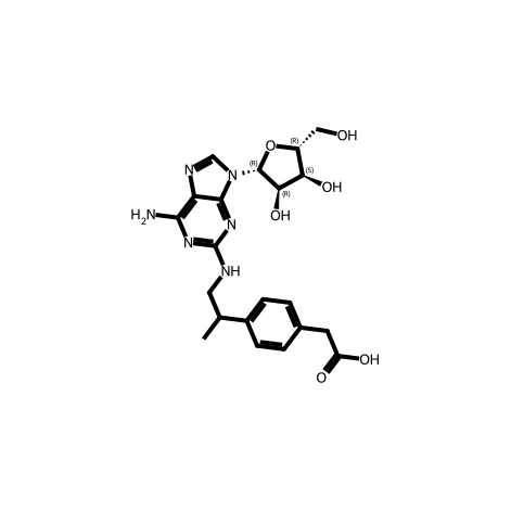 CC(CNc1nc(N)c2ncn([C@@H]3O[C@H](CO)[C@@H](O)[C@H]3O)c2n1)c1ccc(CC(=O)O)cc1